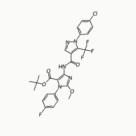 COc1nc(NC(=O)c2cnn(-c3ccc(Cl)cc3)c2C(F)(F)F)c(C(=O)OC(C)(C)C)n1-c1ccc(F)cc1